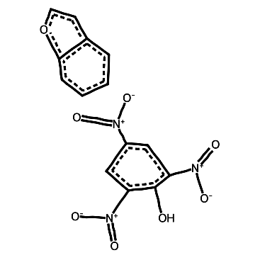 O=[N+]([O-])c1cc([N+](=O)[O-])c(O)c([N+](=O)[O-])c1.c1ccc2occc2c1